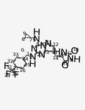 C[C@H](Nc1nc(NC2CC2)n2ncc(/C=C3\NC(=O)NC3=O)c2n1)c1ccc(C(F)(F)F)cc1